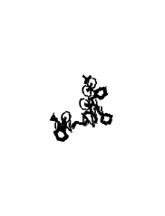 CC(C)(C)OC(=O)c1ccccc1CN1CN(c2ccccc2)C2(CCN(CCCn3c(=O)n(C4CC4)c4ccccc43)CC2)C1=O